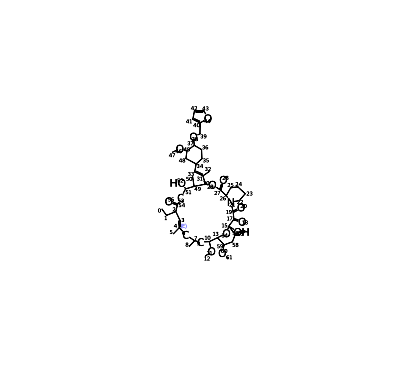 CCC1/C=C(\C)CC(C)CC(OC)C2OC(O)(C(=O)C(=O)N3CCCCC3C(=O)OC(C(C)=CC3CCC(OCc4ccco4)C(OC)C3)C(C)C(O)CC1=O)C(C)CC2OC